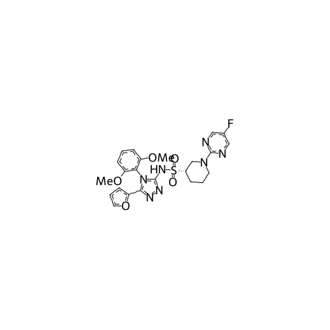 COc1cccc(OC)c1-n1c(NS(=O)(=O)[C@H]2CCCN(c3ncc(F)cn3)C2)nnc1-c1ccco1